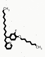 CCCCCCCCCCC(Cc1ccccn1)c1ccc(OCCCCCCC)c(F)c1